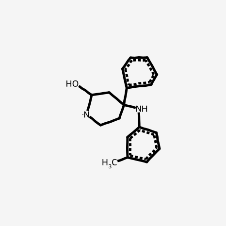 Cc1cccc(NC2(c3ccccc3)CC[N]C(O)C2)c1